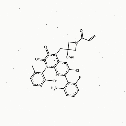 C=CC(=O)N1CC(Cn2c(=O)c(=O)n(-c3c(C)ccnc3C(C)C)c3nc(-c4c(N)cccc4F)c(Cl)cc32)(OC)C1